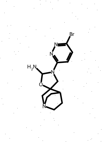 NC1OC2(CN3CCC2CC3)CN1c1ccc(Br)nn1